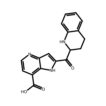 O=C(O)c1ccnc2cc(C(=O)C3CCc4ccccc4N3)[nH]c12